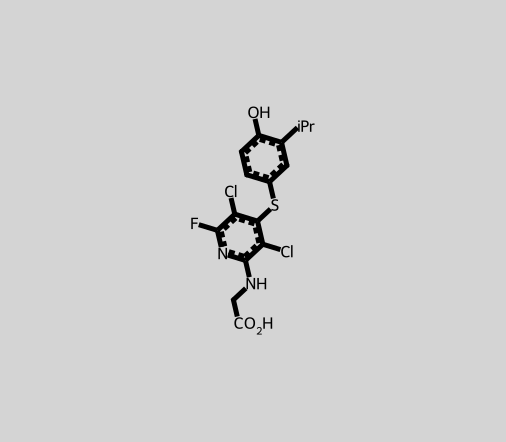 CC(C)c1cc(Sc2c(Cl)c(F)nc(NCC(=O)O)c2Cl)ccc1O